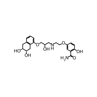 NC(=O)c1cc(OCCNCC(O)COc2cccc3c2C[C@@H](O)[C@@H](O)C3)ccc1O